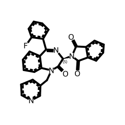 O=C1[C@H](N2C(=O)c3ccccc3C2=O)N=C(c2ccccc2F)c2ccccc2N1Cc1cccnc1